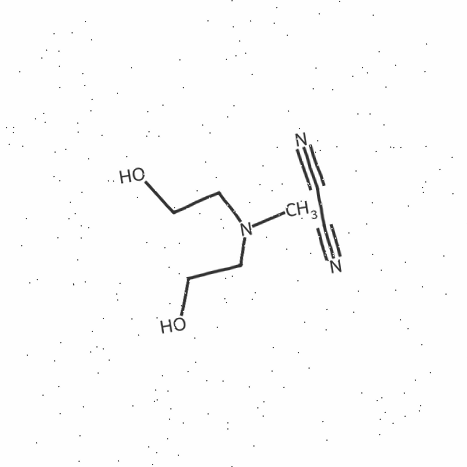 CN(CCO)CCO.N#CC#N